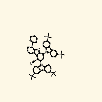 CC(C)(C)c1ccc2c(c1)c1cc(C(C)(C)C)ccc1n2-c1cc(-n2c3ccc(C(C)(C)C)cc3c3cc(C(C)(C)C)ccc32)c2oc3c(-c4ccccc4)cccc3c2c1C#N